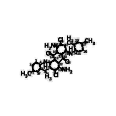 Cc1ccc(Nc2cc(Cl)c(N)c3c2C(=O)c2c(N)c(Cl)cc(Nc4ccc(C)cc4C)c2C3=O)c(C)c1